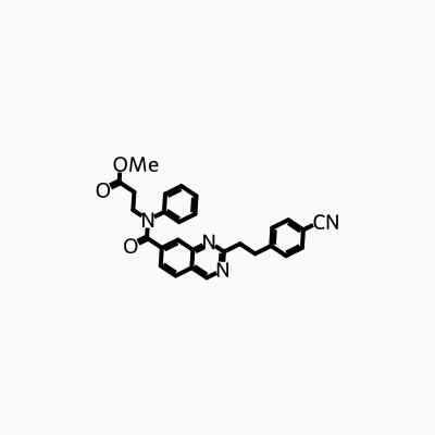 COC(=O)CCN(C(=O)c1ccc2cnc(CCc3ccc(C#N)cc3)nc2c1)c1ccccc1